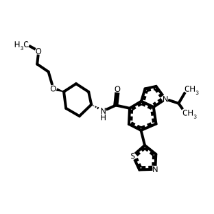 COCCO[C@H]1CC[C@H](NC(=O)c2cc(-c3cncs3)cc3c2ccn3C(C)C)CC1